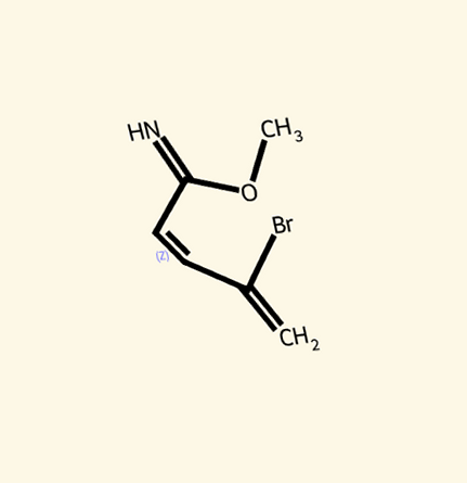 C=C(Br)/C=C\C(=N)OC